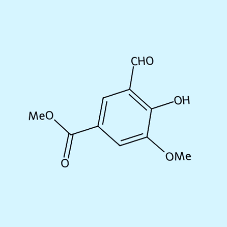 COC(=O)c1cc(C=O)c(O)c(OC)c1